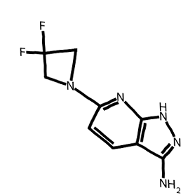 Nc1n[nH]c2nc(N3CC(F)(F)C3)ccc12